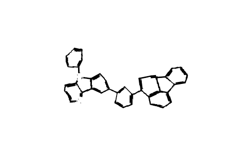 c1ccc(-n2c3ccc(-c4cccc(-c5ccc6c7c(cccc57)-c5ccccc5-6)c4)cc3c3ncccc32)cc1